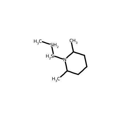 C[SiH2][SiH2]N1C(C)CCCC1C